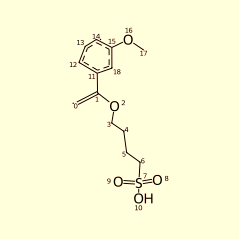 [CH]=C(OCCCCS(=O)(=O)O)c1cc[c]c(OC)c1